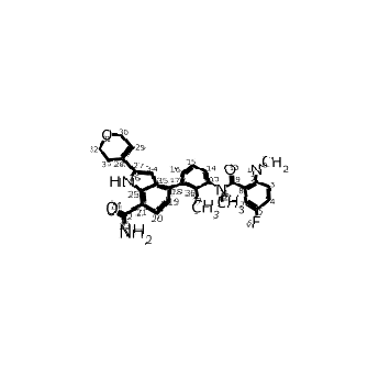 C=Nc1ccc(F)cc1C(=O)N(C)c1cccc(-c2ccc(C(N)=O)c3[nH]c(C4=CCOCC4)cc23)c1C